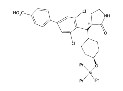 CC(C)[Si](O[C@H]1CC[C@H](C(c2c(Cl)cc(-c3ccc(C(=O)O)cc3)cc2Cl)[C@H]2CCNC2=O)CC1)(C(C)C)C(C)C